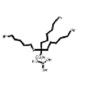 CC(C)CCCCCSC(CCCCCC(C)C)(CCCCCC(C)C)C(=O)O.OP(O)O